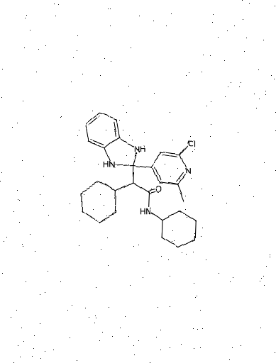 Cc1cc(C2(C(C(=O)NC3CCCCC3)C3CCCCC3)Nc3ccccc3N2)cc(Cl)n1